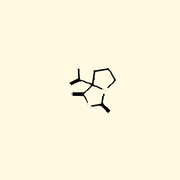 NC(=O)C12CCCN1C(=O)[N]C2=O